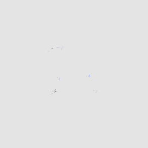 Cc1ccc(C(=O)NCC2CCNC2)cc1Nc1nc(-c2cccnc2)cs1